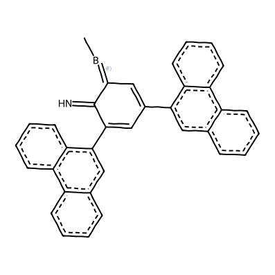 C/B=C1\C=C(c2cc3ccccc3c3ccccc23)C=C(c2cc3ccccc3c3ccccc23)C1=N